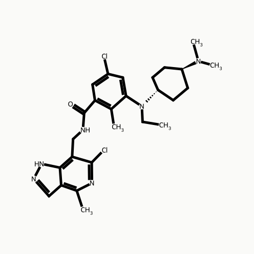 CCN(c1cc(Cl)cc(C(=O)NCc2c(Cl)nc(C)c3cn[nH]c23)c1C)[C@H]1CC[C@H](N(C)C)CC1